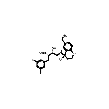 CC(=O)N[C@@H](Cc1cc(F)cc(F)c1)[C@@H](O)CNC1(C)CCNc2ccc(CC(C)(C)C)cc21